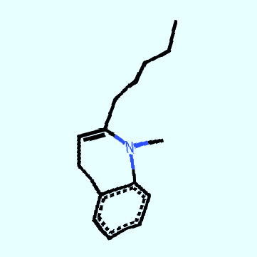 CCCCCC1=CCc2ccccc2N1C